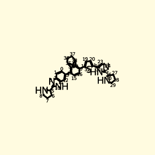 c1cc2nc(C3CCCN3)[nH]c2cc1-c1ccc(-c2ccc(-c3cnc([C@@H]4CCCN4)[nH]3)s2)c2c1C1CCC2C1